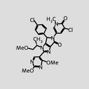 COC[C@@H](C)n1c(-c2cnc(OC)nc2OC)nc2c1C(c1ccc(Cl)cc1)N(c1cc(Cl)c(=O)n(C)c1)C2=O